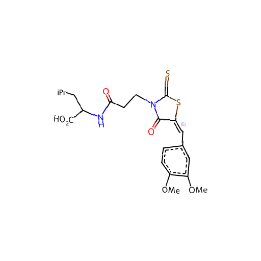 COc1ccc(/C=C2/SC(=S)N(CCC(=O)NC(CC(C)C)C(=O)O)C2=O)cc1OC